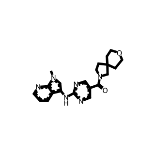 Cn1cc(Nc2ncc(C(=O)N3CCC4(CCOCC4)C3)cn2)c2cccnc21